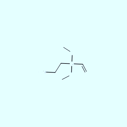 CO[Si](C=O)(CCN)OC